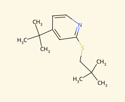 CC(C)(C)CSc1cc(C(C)(C)C)ccn1